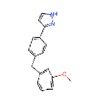 COc1cccc(Cc2ccc(-c3cc[nH]n3)cc2)c1